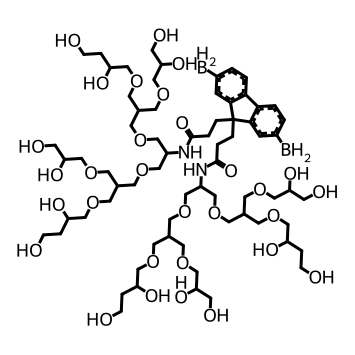 Bc1ccc2c(c1)C(CCC(=O)NC(COCC(COCC(O)CO)COCC(O)CCO)COCC(COCC(O)CO)COCC(O)CCO)(CCC(=O)NC(COCC(COCC(O)CO)COCC(O)CCO)COCC(COCC(O)CO)COCC(O)CCO)c1cc(B)ccc1-2